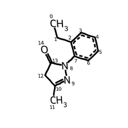 CCc1ccccc1N1N=C(C)CC1=O